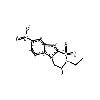 CCN1C(C)Cn2c(nc3cc([N+](=O)[O-])ccc32)S1(=O)=O